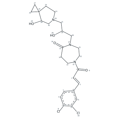 O=C(C=Cc1ccc(Cl)c(Cl)c1)N1CCC(=O)N(CC(O)CN2CCC3(CC3)C(O)C2)CC1